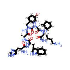 C[C@H](NC(=O)[C@@H](Cc1c[nH]c2ccccc12)NC(=O)[C@@H](N)Cc1c[nH]cn1)C(=O)NN(Cc1ccc(Br)cc1)C(=O)N[C@H](Cc1ccccc1)C(=O)N[C@@H](CCCCN)C(N)=O